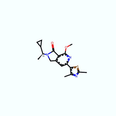 COc1nc(-c2sc(C)nc2C)cc2c1C(=O)N([C@@H](C)C1CC1)C2